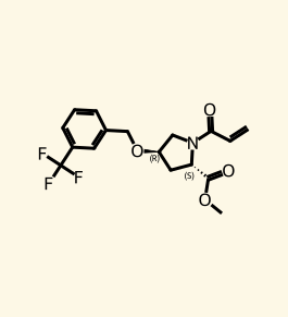 C=CC(=O)N1C[C@H](OCc2cccc(C(F)(F)F)c2)C[C@H]1C(=O)OC